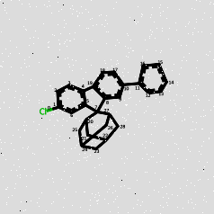 Clc1ccc2c(c1)C1(c3cc(-c4ccccc4)ccc3-2)C2CC3CC(C2)CC1C3